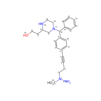 NN(CCC#Cc1ccc(C(c2ccccc2)N2CCNC(CCO)C2)cc1)C(=O)O